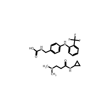 CN(C)CCC(=O)NC1CC1.O=C(O)NCc1ccc(Nc2ccccc2C(F)(F)F)cc1